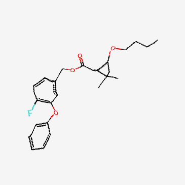 CCCCOC1C(C(=O)OCc2ccc(F)c(Oc3ccccc3)c2)C1(C)C